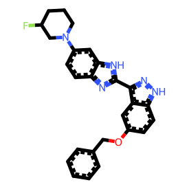 FC1CCCN(c2ccc3nc(-c4n[nH]c5ccc(OCc6ccccc6)cc45)[nH]c3c2)C1